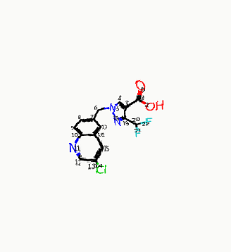 O=C(O)c1cn(Cc2ccc3ncc(Cl)cc3c2)nc1C(F)F